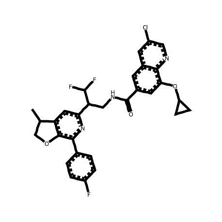 CC1COc2c1cc(C(CNC(=O)c1cc(OC3CC3)c3ncc(Cl)cc3c1)C(F)F)nc2-c1ccc(F)cc1